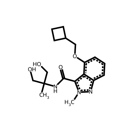 Cn1nc2cccc(OCC3CCC3)c2c1C(=O)NC(C)(CO)CO